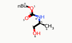 CCCCOC(=O)N[C@@H](C)CO